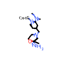 CN(C)C1CC(CN2CCOC(C)(N)C2)CCN1C=O